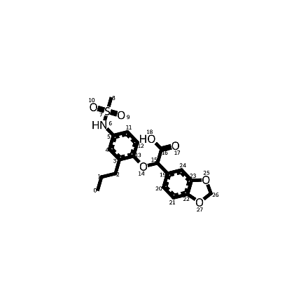 CCCc1cc(NS(C)(=O)=O)ccc1OC(C(=O)O)c1ccc2c(c1)OCO2